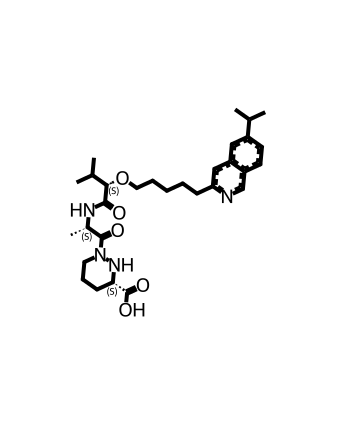 CC(C)c1ccc2cnc(CCCCCO[C@H](C(=O)N[C@@H](C)C(=O)N3CCC[C@@H](C(=O)O)N3)C(C)C)cc2c1